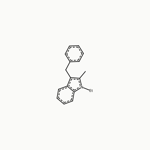 CCn1c(C)c(Cc2ccccc2)c2ccccc21